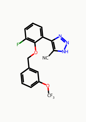 N#Cc1[nH]nnc1-c1cccc(F)c1OCc1cccc(OC(F)(F)F)c1